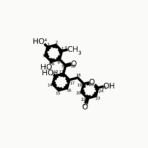 Cc1cc(O)cc(O)c1C(=O)c1c(O)cccc1Cc1cc(=O)cc(O)o1